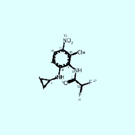 O=C(Nc1c(NC2CC2)ccc([N+](=O)[O-])c1Cl)C(F)F